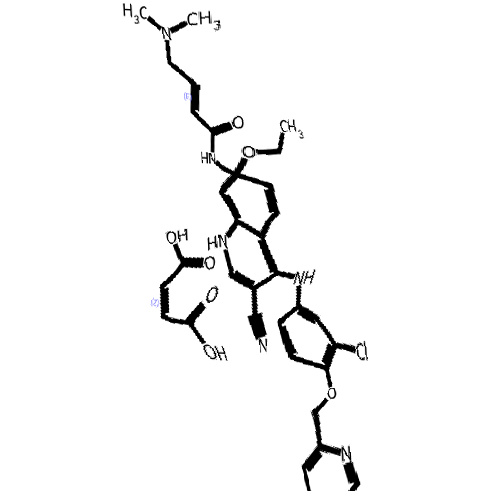 CCOC1(NC(=O)/C=C/CN(C)C)C=CC2=C(Nc3ccc(OCc4ccccn4)c(Cl)c3)C(C#N)=CNC2=C1.O=C(O)/C=C\C(=O)O